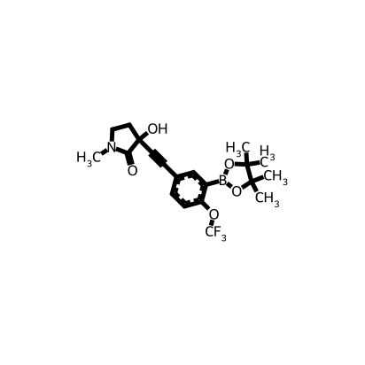 CN1CCC(O)(C#Cc2ccc(OC(F)(F)F)c(B3OC(C)(C)C(C)(C)O3)c2)C1=O